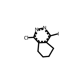 Clc1nnc(I)c2c1CCCC2